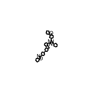 c1ccc(-c2nc(-c3ccc4oc5ccccc5c4c3)nc(-c3cccc4c3sc3ccc(-c5ccc(-c6nc7ccccc7o6)cc5)cc34)n2)cc1